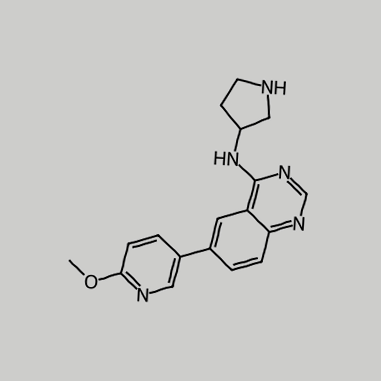 COc1ccc(-c2ccc3ncnc(NC4CCNC4)c3c2)cn1